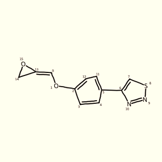 C(Oc1ccc(-c2csnn2)cc1)=C1CO1